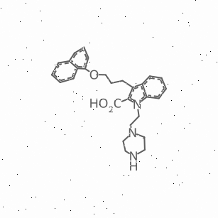 O=C(O)c1c(CCCOc2cccc3ccccc23)c2ccccc2n1CCN1CCNCC1